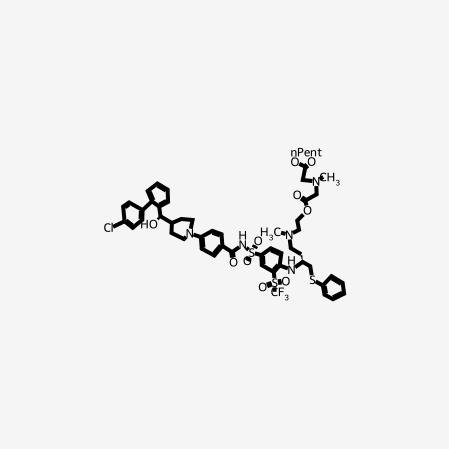 CCCCCOC(=O)CN(C)CC(=O)OCCN(C)CC[C@H](CSc1ccccc1)Nc1ccc(S(=O)(=O)NC(=O)c2ccc(N3CCC([C@@H](O)c4ccccc4-c4ccc(Cl)cc4)CC3)cc2)cc1S(=O)(=O)C(F)(F)F